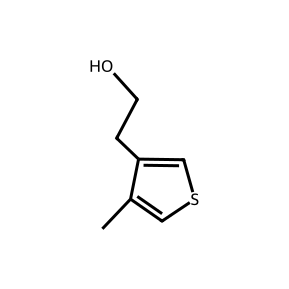 Cc1cscc1CCO